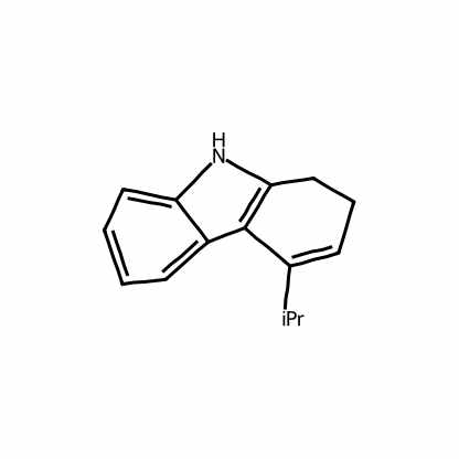 CC(C)C1=CCCc2[nH]c3ccccc3c21